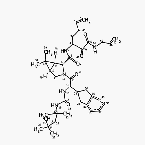 C=CCCC(NC(=O)[C@@H]1[C@H]2[C@@H](CN1C(=O)[C@@H](NC(=O)NC(C)(C)CC(C)(C)C)C1Cc3ccccc3C1)C2(C)C)C(=O)C(=O)NCC=C